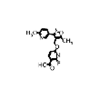 Cc1ccc(-c2noc(C)c2COc2ccc(C(=O)O)c(F)n2)cn1